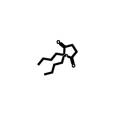 CCC[CH2][Sn]1([CH2]CCC)[C](=O)CC[C]1=O